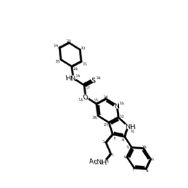 CC(=O)NCCc1c(-c2ccccc2)[nH]c2ncc(OC(=S)NC3CCCCC3)cc12